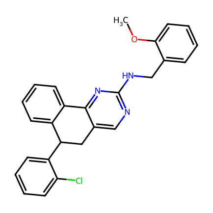 COc1ccccc1CNc1ncc2c(n1)-c1ccccc1C(c1ccccc1Cl)C2